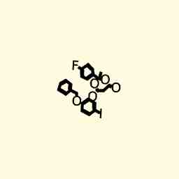 CC1(c2ccc(F)cc2)OC(=O)CC(=O)O1.Ic1ccc(OCc2ccccc2)cc1